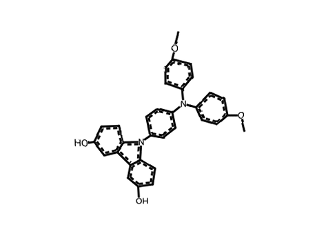 COc1ccc(N(c2ccc(OC)cc2)c2ccc(-n3c4ccc(O)cc4c4cc(O)ccc43)cc2)cc1